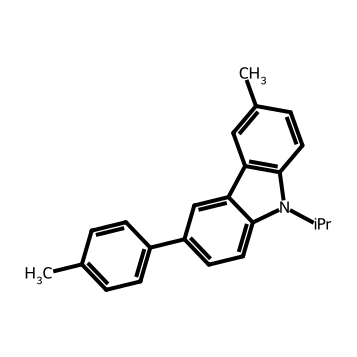 Cc1ccc(-c2ccc3c(c2)c2cc(C)ccc2n3C(C)C)cc1